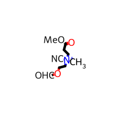 COC(=O)CC[N+](C)(C#N)CCOC=O